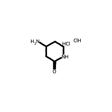 Cl.Cl.NC1CCNC(=O)C1